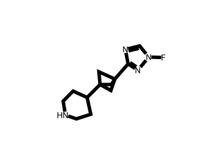 Fn1cnc(C23CC(C4CCNCC4)(C2)C3)n1